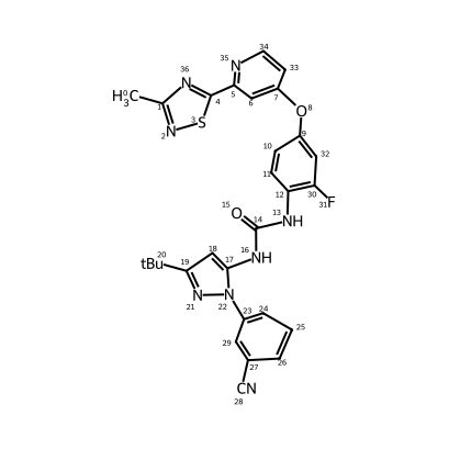 Cc1nsc(-c2cc(Oc3ccc(NC(=O)Nc4cc(C(C)(C)C)nn4-c4cccc(C#N)c4)c(F)c3)ccn2)n1